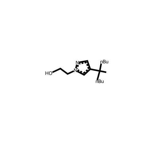 CCCCC(C)(CCCC)c1cnn(CCO)c1